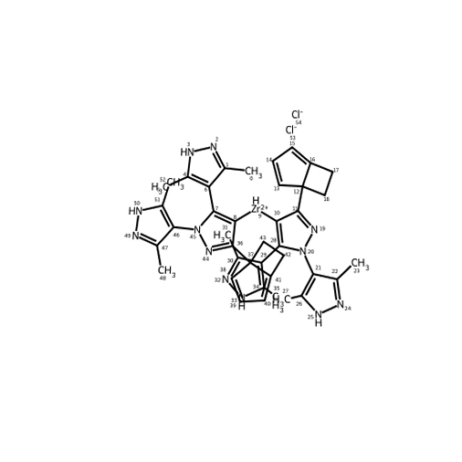 Cc1n[nH]c(C)c1-c1[c]([ZrH+2][c]2c(C34C=CC=C3CC4)nn(-c3c(C)n[nH]c3C)c2-c2c(C)n[nH]c2C)c(C23C=CC=C2CC3)nn1-c1c(C)n[nH]c1C.[Cl-].[Cl-]